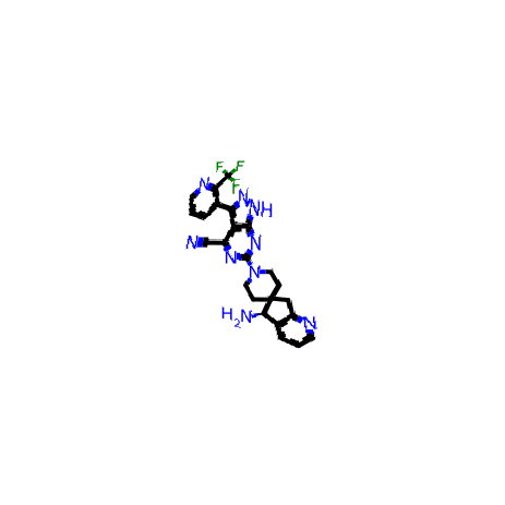 N#Cc1nc(N2CCC3(CC2)Cc2ncccc2[C@H]3N)nc2[nH]nc(-c3cccnc3C(F)(F)F)c12